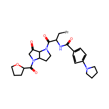 CC(C)CC(NC(=O)c1ccc(N2CCCC2)cc1)C(=O)N1CCC2C1C(=O)CN2C(=O)C1CCCO1